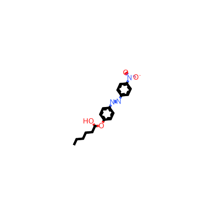 CCCCCC(O)Oc1ccc(N=Nc2ccc([N+](=O)[O-])cc2)cc1